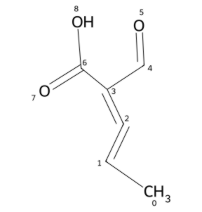 CC=C=C(C=O)C(=O)O